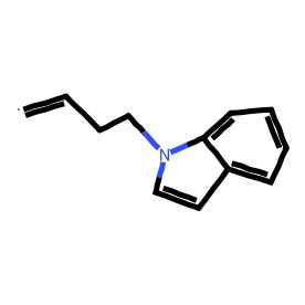 [CH]=CCCn1ccc2ccccc21